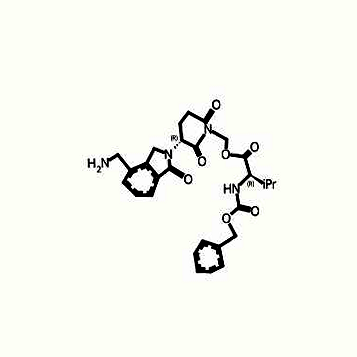 CC(C)[C@@H](NC(=O)OCc1ccccc1)C(=O)OCN1C(=O)CC[C@@H](N2Cc3c(CN)cccc3C2=O)C1=O